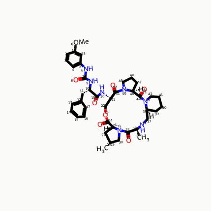 COc1cccc(NC(=O)N[C@@H](Cc2ccccc2)C(=O)N[C@H]2COC(=O)[C@@H]3C[C@@H](C)CN3C(=O)[C@H](C)NC[C@@H]3CCCCN3C(=O)[C@@H]3CCCN3C2=O)c1